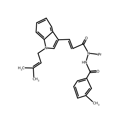 CC(C)=CCn1cc(C=CC(=O)N(NC(=O)c2cccc(C)c2)C(C)C)c2ccccc21